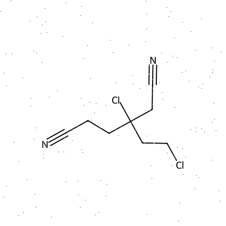 N#CCCC(Cl)(CC#N)CCCl